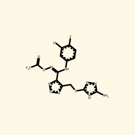 Nc1nnc(SCc2nonc2C(=NOC(=O)C(F)(F)F)Nc2ccc(F)c(Cl)c2)[nH]1